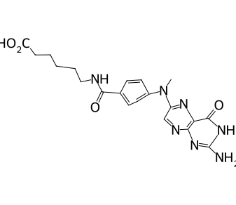 CN(c1ccc(C(=O)NCCCCCC(=O)O)cc1)c1cnc2nc(N)[nH]c(=O)c2n1